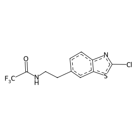 O=C(NCCc1ccc2nc(Cl)sc2c1)C(F)(F)F